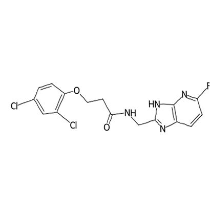 O=C(CCOc1ccc(Cl)cc1Cl)NCc1nc2ccc(F)nc2[nH]1